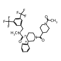 CC(=O)N1CCC(C(=O)N2CC[C@@H](C(=O)N(C)Cc3cc(C(F)(F)F)cc(C(F)(F)F)c3)[C@H](c3ccccc3)C2)CC1